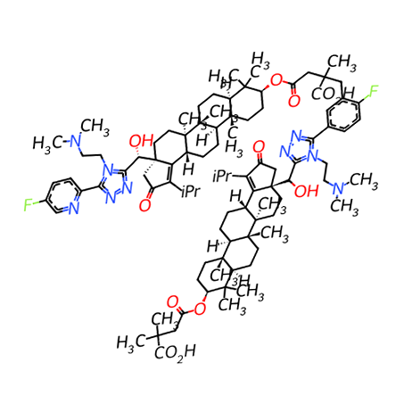 CC(C)C1=C2[C@H]3CC[C@@H]4[C@@]5(C)CC[C@H](OC(=O)CC(C)(C)C(=O)O)C(C)(C)[C@@H]5CC[C@@]4(C)[C@]3(C)CC[C@@]2(C(O)c2nnc(-c3ccc(F)c(CC(C)(CC(=O)O[C@H]4CC[C@]5(C)[C@H]6CC[C@@H]7C8=C(C(C)C)C(=O)C[C@]8([C@@H](O)c8nnc(-c9ccc(F)cn9)n8CCN(C)C)CC[C@@]7(C)[C@]6(C)CC[C@H]5C4(C)C)C(=O)O)c3)n2CCN(C)C)CC1=O